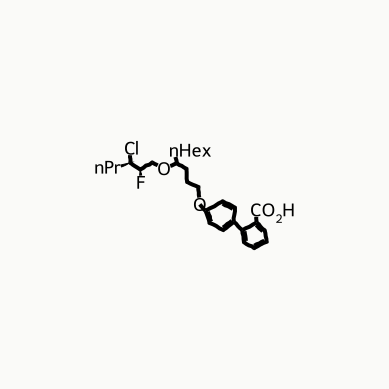 CCCCCCC(CCCOc1ccc(-c2ccccc2C(=O)O)cc1)OC[C@@H](F)[C@H](Cl)CCC